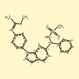 [CH2]C(CC)=Nc1ccc(-n2ncc3cnc(N(NS(C)(=O)=O)c4cccnc4)nc32)cc1